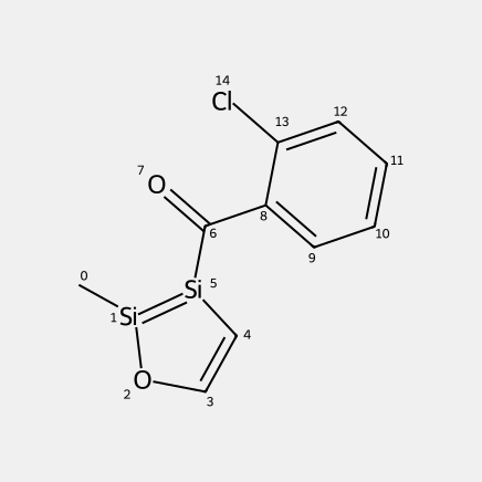 C[si]1occ[si]1C(=O)c1ccccc1Cl